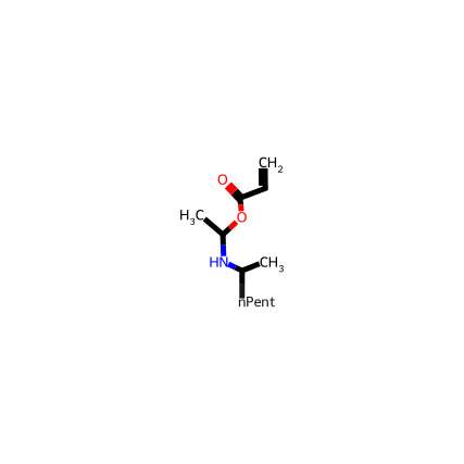 C=CC(=O)OC(C)NC(C)CCCCC